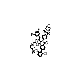 O=C(Cn1ccc(C2CC2)n1)NC(Cc1cc(F)cc(F)c1)c1nc2cc(-c3c(Cl)cccc3Cl)ccc2c(=O)n1-c1ccc(S(=O)(=O)N2CCOCC2)cc1